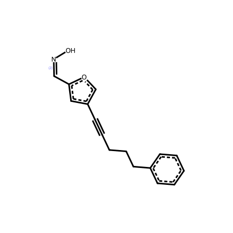 O/N=C\c1cc(C#CCCCc2ccccc2)co1